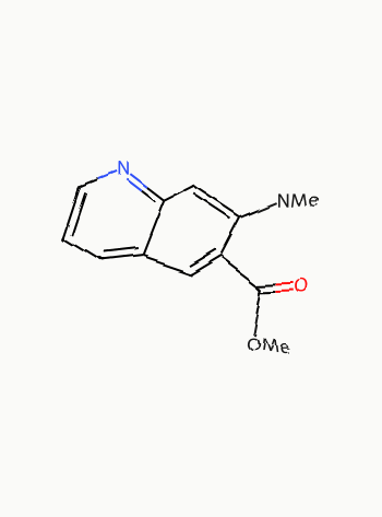 CNc1cc2ncccc2cc1C(=O)OC